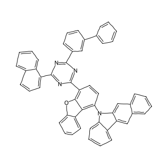 c1ccc(-c2cccc(-c3nc(-c4cccc5ccccc45)nc(-c4ccc(-n5c6ccccc6c6cc7ccccc7cc65)c5c4oc4ccccc45)n3)c2)cc1